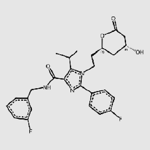 CC(C)c1c(C(=O)NCc2cccc(F)c2)nc(-c2ccc(F)cc2)n1CC[C@@H]1C[C@@H](O)CC(=O)O1